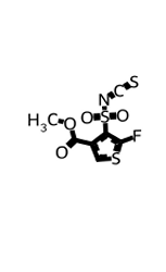 COC(=O)c1csc(F)c1S(=O)(=O)N=C=S